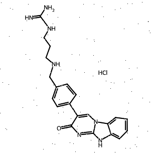 Cl.N=C(N)NCCCNCc1ccc(-c2cn3c(nc2=O)[nH]c2ccccc23)cc1